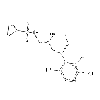 O=S(=O)(NCC1CC(c2c(O)ccc(Cl)c2Cl)CCN1)C1CC1